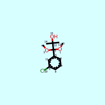 COC(OC)(c1cccc(Cl)c1)C(C)(C)O